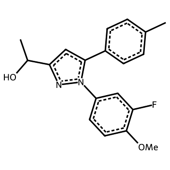 COc1ccc(-n2nc(C(C)O)cc2-c2ccc(C)cc2)cc1F